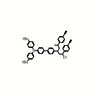 C#Cc1ccc(C(C)CC(CC(CC)c2ccc(C#C)cc2)c2ccc(-c3ccc(N(c4ccc(C(C)(C)C)cc4)c4ccc(C(C)(C)C)cc4)cc3)cc2)cc1